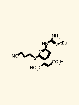 CC(C)(C)N=C(N)Nc1cccc(SCCCC#N)n1.O=C(O)C=CC(=O)O